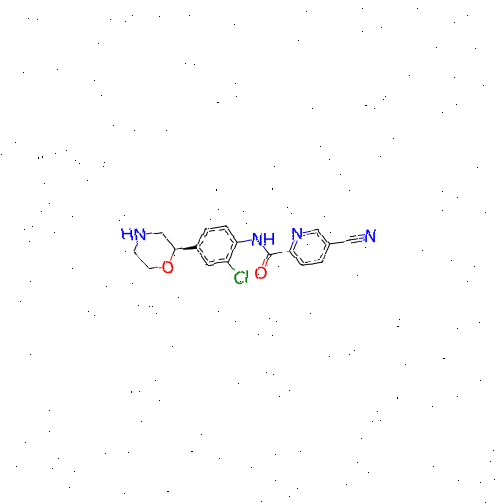 N#Cc1ccc(C(=O)Nc2ccc([C@@H]3CNCCO3)cc2Cl)nc1